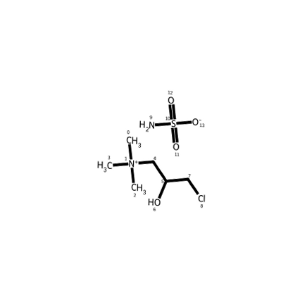 C[N+](C)(C)CC(O)CCl.NS(=O)(=O)[O-]